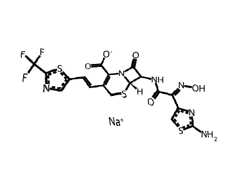 Nc1nc(C(=NO)C(=O)NC2C(=O)N3C(C(=O)[O-])=C(C=Cc4cnc(C(F)(F)F)s4)CS[C@@H]23)cs1.[Na+]